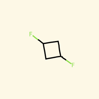 F[C]1CC(F)C1